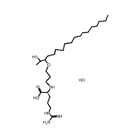 CCCCCCCCCCCCCCCC(OCCCN[C@@H](CCCNC(=N)N)C(=O)O)C(C)O.Cl